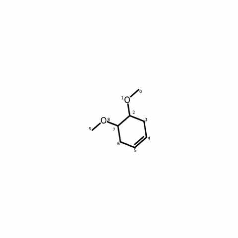 COC1CC=CCC1OC